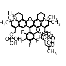 CC(=O)CCCN(C)C(=O)c1c(F)c(F)c(F)c(F)c1C1=c2cc3c4c(c2Oc2c1cc1c5c2CCCN5C(C)(C)C=C1COP(=O)(O)O)CCC[N+]=4C(C)(C)C=C3COP(=O)(O)O